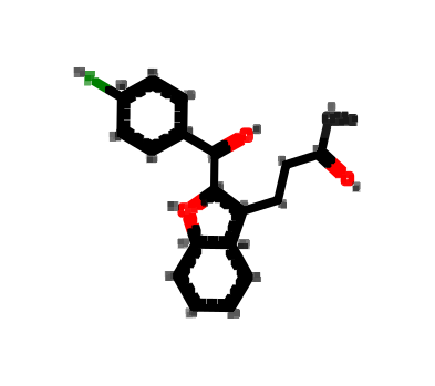 COC(=O)CCc1c(C(=O)c2ccc(F)cc2)oc2ccccc12